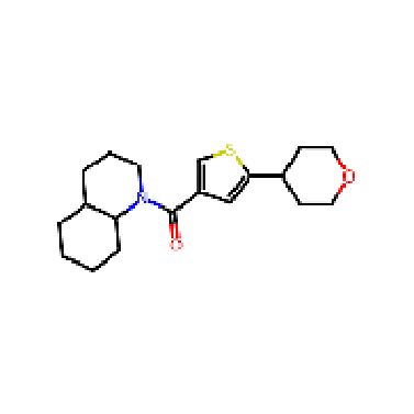 O=C(c1csc(C2CCOCC2)c1)N1CCCC2CCCCC21